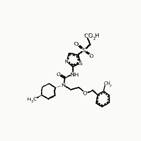 Cc1ccccc1COCCN(C(=O)Nc1ncc(S(=O)(=O)CC(=O)O)s1)[C@H]1CC[C@H](C)CC1